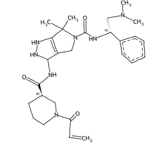 C=CC(=O)N1CCC[C@@H](C(=O)NC2NNC3=C2CN(C(=O)N[C@H](CN(C)C)c2ccccc2)C3(C)C)C1